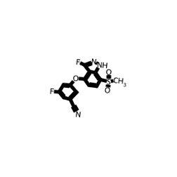 CS(=O)(=O)c1ccc(Oc2cc(F)cc(C#N)c2)c2c(F)n[nH]c12